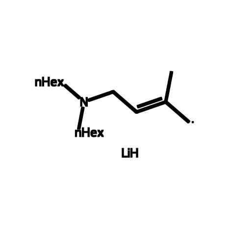 [CH2]C(C)=CCN(CCCCCC)CCCCCC.[LiH]